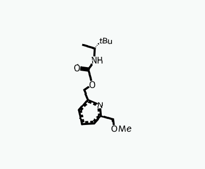 COCc1cccc(COC(=O)N[C@H](C)C(C)(C)C)n1